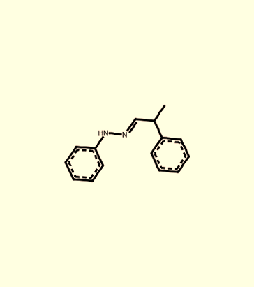 CC(C=NNc1ccccc1)c1ccccc1